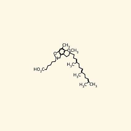 CC(C)=CCC/C(C)=C/CC/C(C)=C/CC[C@]1(C)CCc2c3c(cc(C)c2O1)OCN(CCCCCC(=O)O)C3